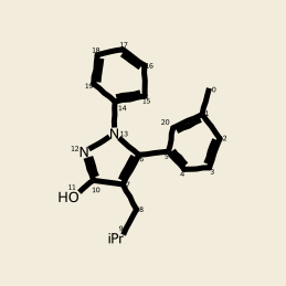 Cc1cccc(-c2c(CC(C)C)c(O)nn2-c2ccccc2)c1